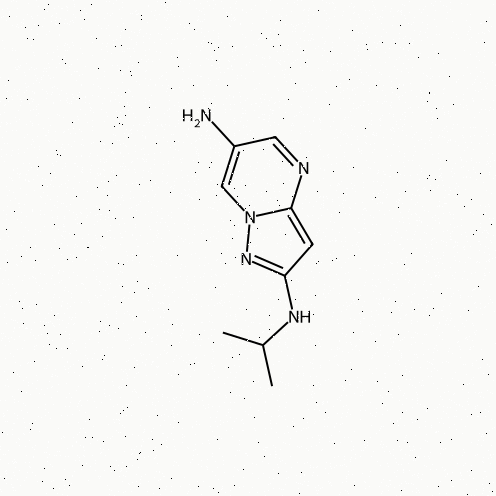 CC(C)Nc1cc2ncc(N)cn2n1